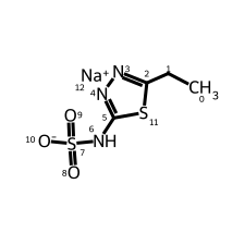 CCc1nnc(NS(=O)(=O)[O-])s1.[Na+]